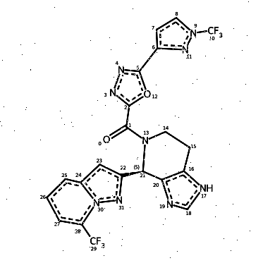 O=C(c1nnc(-c2ccn(C(F)(F)F)n2)o1)N1CCc2[nH]cnc2[C@H]1c1cc2cccc(C(F)(F)F)n2n1